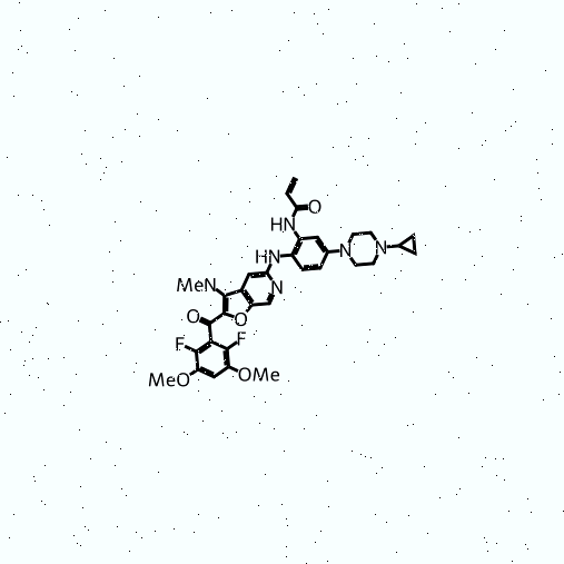 C=CC(=O)Nc1cc(N2CCN(C3CC3)CC2)ccc1Nc1cc2c(NC)c(C(=O)c3c(F)c(OC)cc(OC)c3F)oc2cn1